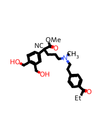 CCC(=O)c1ccc(CCN(C)CCCC(C#N)(C(=O)OC)c2ccc(CO)c(CO)c2)cc1